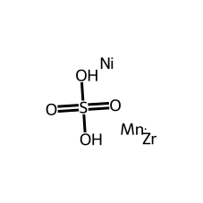 O=S(=O)(O)O.[Mn].[Ni].[Zr]